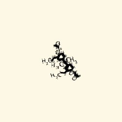 C=CCc1cc(C(C)(C)c2ccc(OC[C@@H]3CO3)c(CC=C)c2)ccc1OCC1CO1